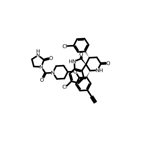 C#Cc1ccc(OC2CCN(C(=O)N3CCNC3=O)CC2)c([C@H]2NC(=O)C[C@@H](c3cccc(Cl)c3)[C@]23C(=O)Nc2cc(Cl)ccc23)c1